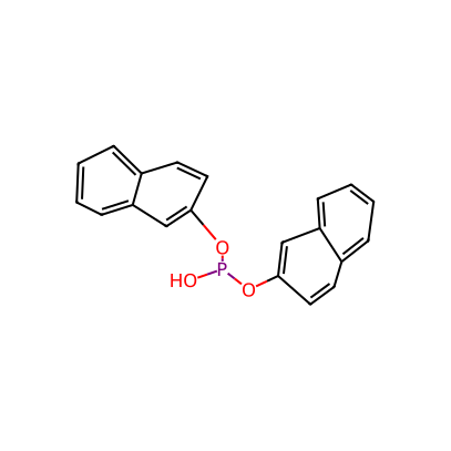 OP(Oc1ccc2ccccc2c1)Oc1ccc2ccccc2c1